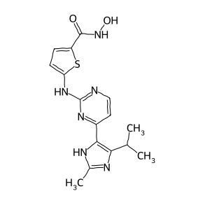 Cc1nc(C(C)C)c(-c2ccnc(Nc3ccc(C(=O)NO)s3)n2)[nH]1